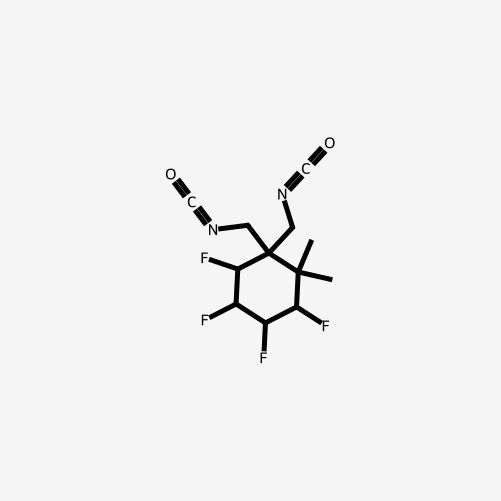 CC1(C)C(F)C(F)C(F)C(F)C1(CN=C=O)CN=C=O